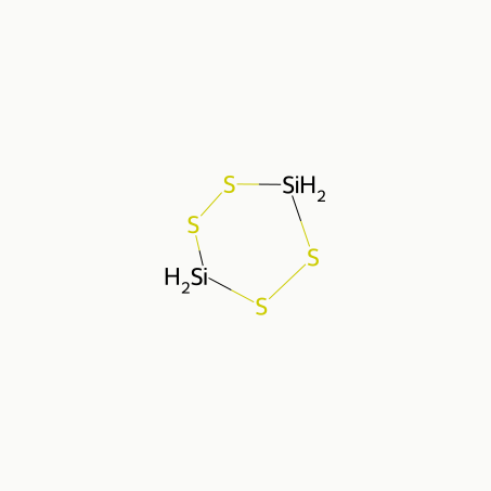 [SiH2]1SS[SiH2]SS1